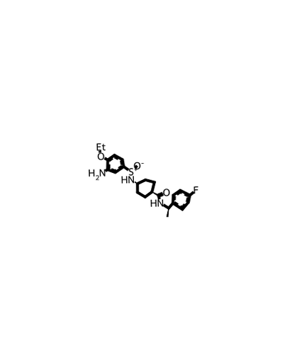 CCOc1ccc([S+]([O-])N[C@H]2CC[C@H](C(=O)N[C@H](C)c3ccc(F)cc3)CC2)cc1N